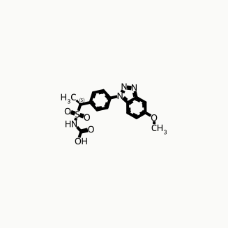 COc1ccc2c(c1)nnn2-c1ccc([C@H](C)S(=O)(=O)NC(=O)O)cc1